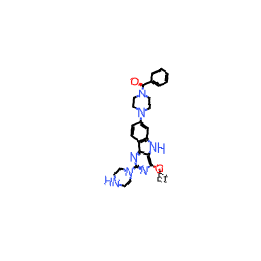 CCOc1nc(N2CCNCC2)nc2c1[nH]c1cc(N3CCN(C(=O)c4ccccc4)CC3)ccc12